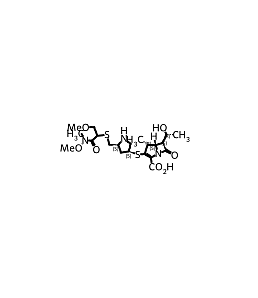 COCC(SC[C@@H]1C[C@H](SC2=C(C(=O)O)N3C(=O)[C@H]([C@@H](C)O)[C@H]3[C@H]2C)CN1)C(=O)N(C)OC